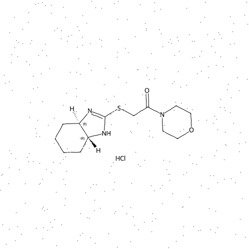 Cl.O=C(CSC1=N[C@@H]2CCCC[C@H]2N1)N1CCOCC1